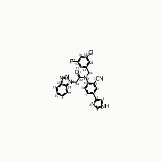 N#Cc1cc(-c2c[nH]cn2)ccc1N(Cc1cc(F)cc(Cl)c1)C(=O)Cn1nnc2ccccc21